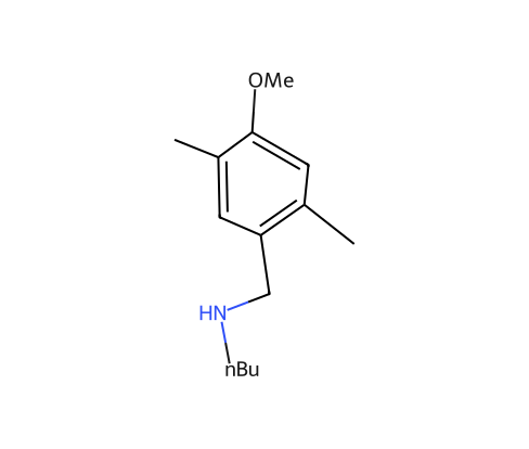 CCCCNCc1cc(C)c(OC)cc1C